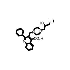 O=C(O)c1c(CN2CCN(CC(O)CO)CC2)c(-c2ccccc2)nc2ccccc12